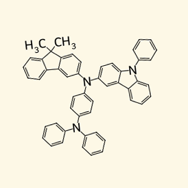 CC1(C)c2ccccc2-c2cc(N(c3ccc(N(c4ccccc4)c4ccccc4)cc3)c3ccc4c(c3)c3ccccc3n4-c3ccccc3)ccc21